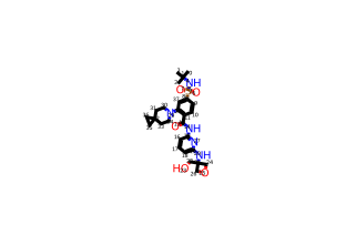 CC(C)(C)NS(=O)(=O)c1ccc(C(=O)Nc2cccc(NC3(CO)COC3)n2)c(N2CCC3(CC2)CC3)c1